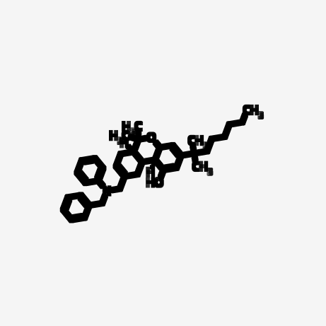 CCCCCCC(C)(C)C1=CC2OC(C)(C)[C@H]3CC=C(CN(Cc4ccccc4)c4ccccc4)CC3[C@@H]2C(O)=C1